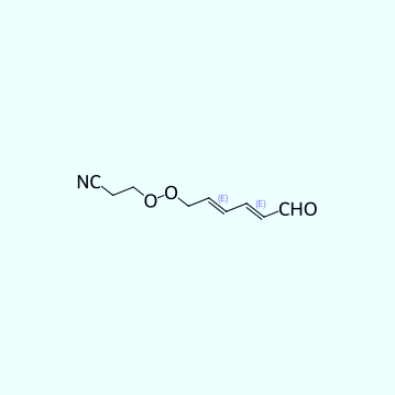 N#CCCOOC/C=C/C=C/C=O